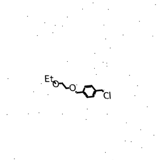 CCOCCOCc1ccc(CCl)cc1